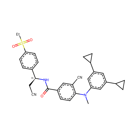 CCS(=O)(=O)c1ccc([C@H](CC#N)NC(=O)c2ccc(N(C)c3cc(C4CC4)cc(C4CC4)c3)c(C#N)c2)cc1